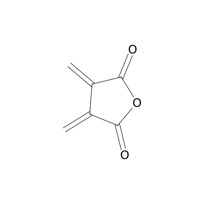 C=C1C(=C)C(=O)OC1=O